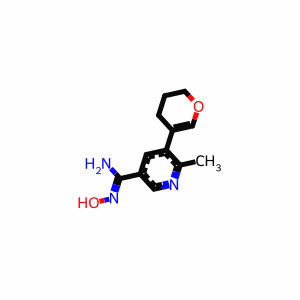 Cc1ncc(/C(N)=N/O)cc1C1=COCCC1